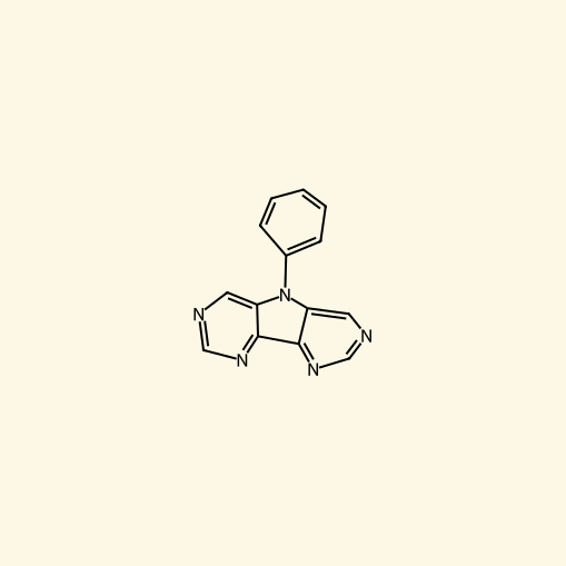 c1ccc(-n2c3cncnc3c3ncncc32)cc1